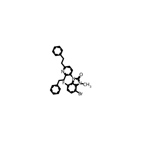 Cn1c(=O)n(-c2ccc(CCc3ccccc3)nc2CCc2ccccc2)c2c(F)ccc(Br)c21